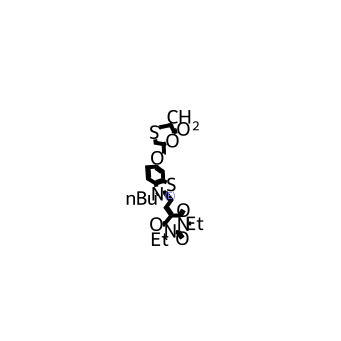 C=C1CSCC(COc2ccc3c(c2)S/C(=C/C=C2C(=O)N(CC)C(=O)N(CC)C2=O)N3CCCC)OC1=O